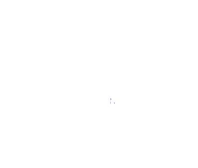 C1=C(c2ccccc2)C(n2c3ccccc3c3c4c5ccccc5c(-c5ccccc5)cc4c4ccccc4c32)=CCC1